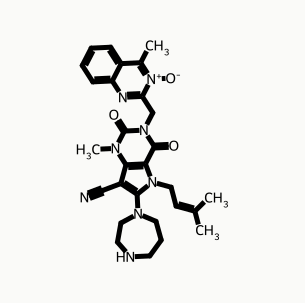 CC(C)=CCn1c(N2CCCNCC2)c(C#N)c2c1c(=O)n(Cc1nc3ccccc3c(C)[n+]1[O-])c(=O)n2C